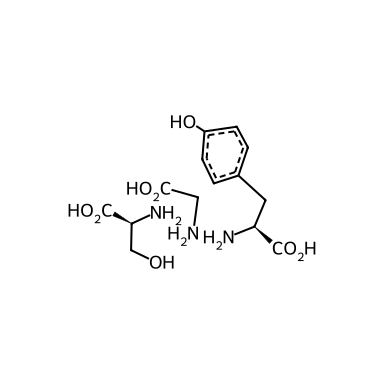 NCC(=O)O.N[C@@H](CO)C(=O)O.N[C@@H](Cc1ccc(O)cc1)C(=O)O